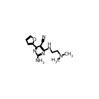 CN(C)CCNc1nc(N)nc(-c2ccco2)c1C#N